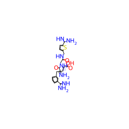 N=C(N)c1cccc(C[C@@](N)(/C=C/C(=O)O)C(=O)NCC(=O)NCc2ccc(C(=N)N)s2)c1